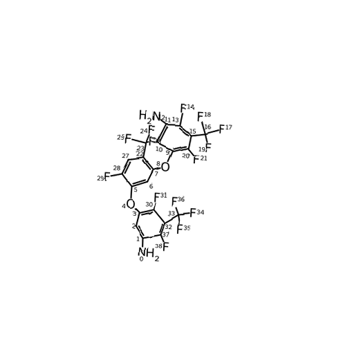 Nc1cc(Oc2cc(Oc3cc(N)c(F)c(C(F)(F)F)c3F)c(C(F)(F)F)cc2F)c(F)c(C(F)(F)F)c1F